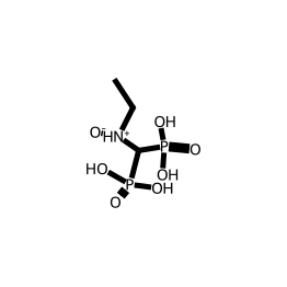 CC[NH+]([O-])C(P(=O)(O)O)P(=O)(O)O